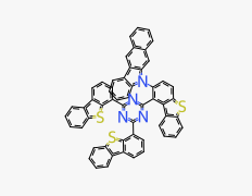 c1ccc2cc3c(cc2c1)c1ccccc1n3-c1ccc2sc3ccccc3c2c1-c1nc(-c2cccc3c2sc2ccccc23)nc(-c2cccc3c2sc2ccccc23)n1